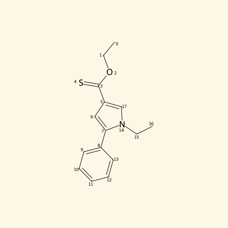 CCOC(=S)c1cc(-c2ccccc2)n(CC)c1